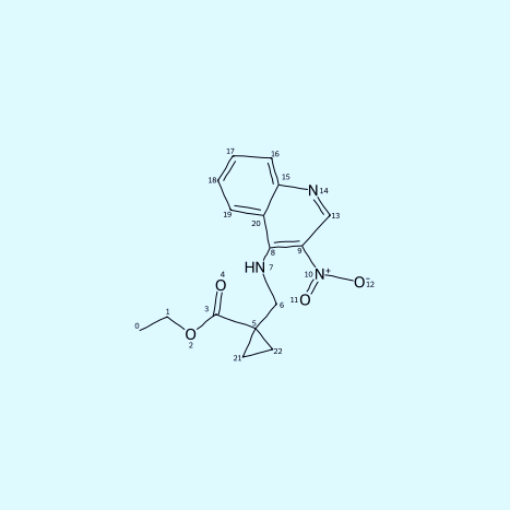 CCOC(=O)C1(CNc2c([N+](=O)[O-])cnc3ccccc23)CC1